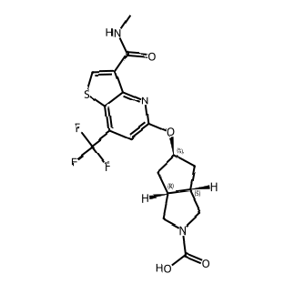 CNC(=O)c1csc2c(C(F)(F)F)cc(O[C@H]3C[C@@H]4CN(C(=O)O)C[C@@H]4C3)nc12